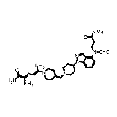 CNC(=O)CCN(C=O)c1cccc2c1cnn2C1CCN(CC2CCN(/C(N)=C/C=C(\N)C(N)=O)CC2)CC1